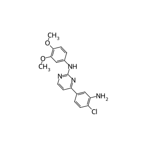 COc1ccc(Nc2nccc(-c3ccc(Cl)c(N)c3)n2)cc1OC